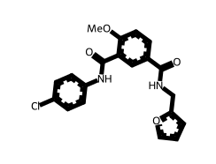 COc1ccc(C(=O)NCc2ccco2)cc1C(=O)Nc1ccc(Cl)cc1